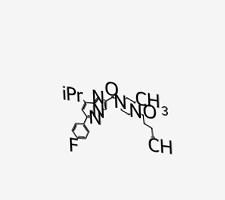 C#CCCC(=O)N1CCN(C(=O)c2cn3nc(-c4ccc(F)cc4)cc(C(C)C)c3n2)C[C@@H]1C